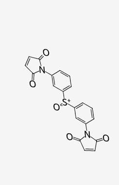 O=C1C=CC(=O)N1c1cccc([S+]([O-])c2cccc(N3C(=O)C=CC3=O)c2)c1